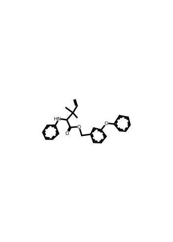 C=CC(C)(C)C(Nc1ccccc1)C(=O)OCc1cccc(Oc2ccccc2)c1